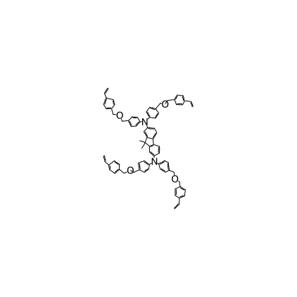 C=Cc1ccc(COCc2ccc(N(c3ccc(COCc4ccc(C=C)cc4)cc3)c3ccc4c(c3)C(C)(C)c3cc(N(c5ccc(COCc6ccc(C=C)cc6)cc5)c5ccc(COCc6ccc(C=C)cc6)cc5)ccc3-4)cc2)cc1